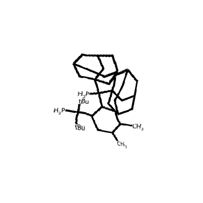 CC1CC(C(P)(C(C)(C)C)C(C)(C)C)C(C(P)(C23CC4CC(CC(C4)C2)C3)C23CC4CC(CC(C4)C2)C3)CC1C